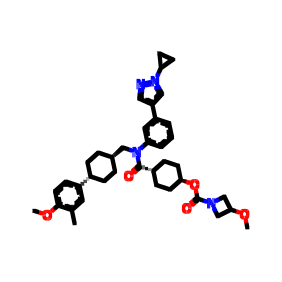 COc1ccc([C@H]2CC[C@H](CN(c3cccc(-c4cnn(C5CC5)c4)c3)C(=O)[C@H]3CC[C@H](OC(=O)N4CC(OC)C4)CC3)CC2)cc1C